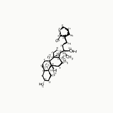 C[C@]12CC[C@H]3[C@@H](CCC4C[C@@H](O)CC[C@@]43C)[C@@H]1CC[C@@H]2[C@](C)(O)CCc1cccnc1Cl